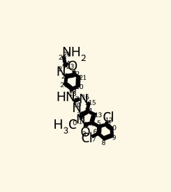 Cn1c(=O)c(-c2c(Cl)cccc2Cl)cc2cnc(Nc3ccc4oc(CN)nc4c3)nc21